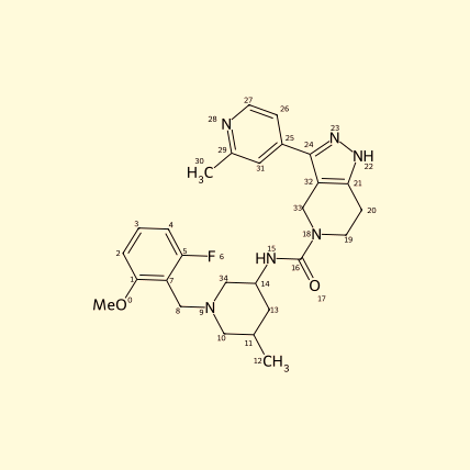 COc1cccc(F)c1CN1CC(C)CC(NC(=O)N2CCc3[nH]nc(-c4ccnc(C)c4)c3C2)C1